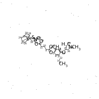 CCCc1cc(OC(=O)CCCC(=O)OCCC2(SN=O)C3CC4CC(C3)CC2C4)c(C)cc1OCCN(C)C